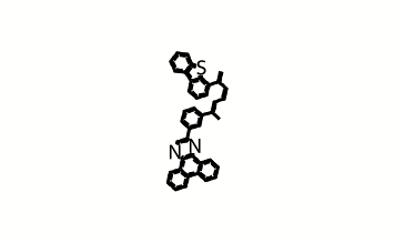 C=C(/C=C\C=C(/C)c1cccc(-c2cnc3c4ccccc4c4ccccc4c3n2)c1)c1cccc2c1sc1ccccc12